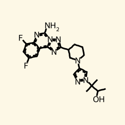 CC(O)C(C)(C)n1cc(N2CCCC(c3nc4c5cc(F)cc(F)c5nc(N)n4n3)C2)cn1